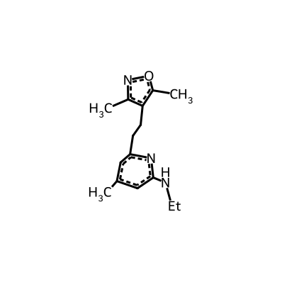 CCNc1cc(C)cc(CCc2c(C)noc2C)n1